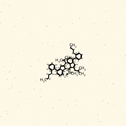 CCCCc1ccccc1-c1cccc2c1C=C(CC(C)C)[CH]2[Zr]([CH]1C(CC(C)C)=Cc2c(-c3ccccc3CCCC)cccc21)[SiH](C)C